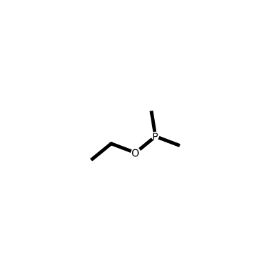 CCOP(C)C